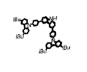 CCC(C)c1ccc2c(c1)c1cc(C(C)CC)ccc1n2-c1ccc(-c2ccc3[nH]c4ccc(-c5ccc(-n6c7ccc(C(C)CC)cc7c7cc(C(C)CC)ccc76)cc5)cc4c3c2)cc1